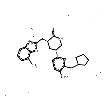 COc1ccc([C@H]2CNC(=O)[C@H](Cc3nc4cccc(C)c4o3)C2)cc1OC1CCCC1